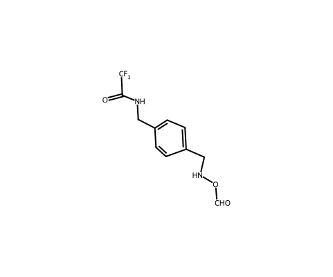 O=CONCc1ccc(CNC(=O)C(F)(F)F)cc1